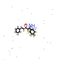 Nc1c(C(=O)/C=C/c2ccccc2)sc2cc(F)ccc12